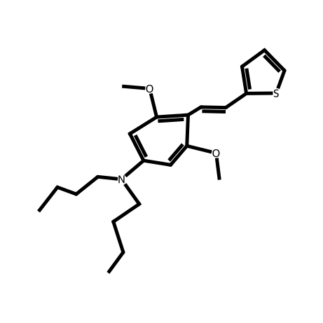 CCCCN(CCCC)c1cc(OC)c(/C=C/c2cccs2)c(OC)c1